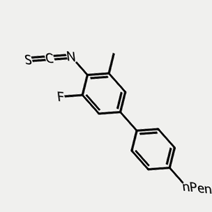 CCCCCc1ccc(-c2cc(C)c(N=C=S)c(F)c2)cc1